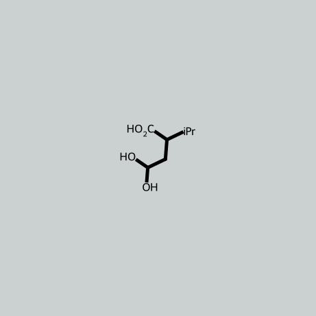 CC(C)C(CC(O)O)C(=O)O